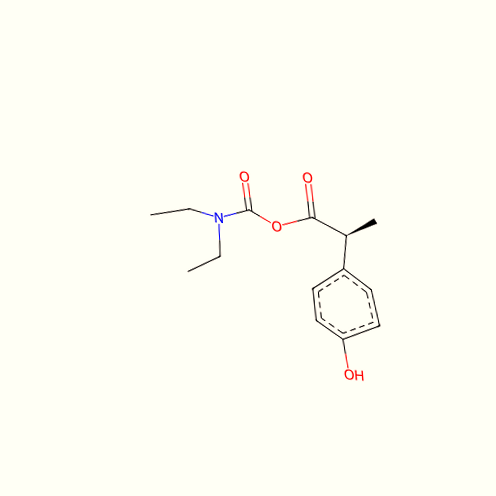 CCN(CC)C(=O)OC(=O)[C@@H](C)c1ccc(O)cc1